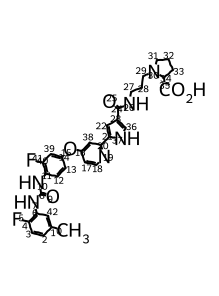 Cc1ccc(F)c(NC(=O)Nc2ccc(Oc3ccnc(-c4cc(C(=O)NCCCN5CCCC5C(=O)O)c[nH]4)c3)cc2F)c1